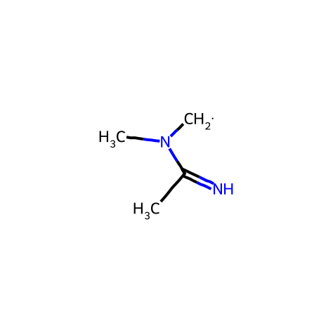 [CH2]N(C)C(C)=N